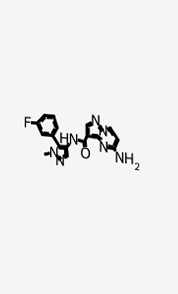 Cn1ncc(NC(=O)c2cnn3ccc(N)nc23)c1-c1cccc(F)c1